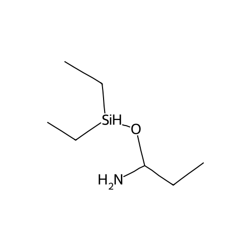 CCC(N)O[SiH](CC)CC